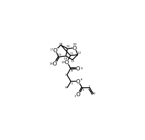 C=CC(=O)OC(C)CC(=O)OC1C2CC3C(=O)OC1C3O2